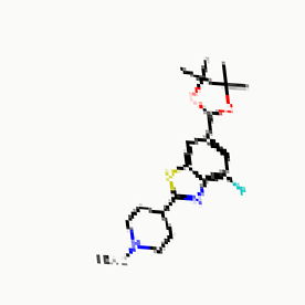 CC1(C)OB(c2cc(F)c3nc(C4CCN(C(=O)O)CC4)sc3c2)OC1(C)C